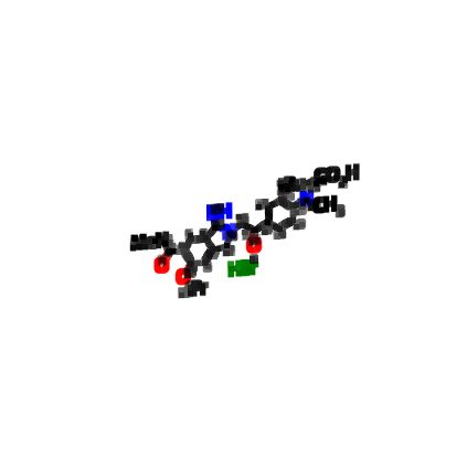 Br.CNC(=O)c1cc2c(cc1OC(C)C)CN(CC(=O)c1ccc(N(C)CC(=O)O)c(C(C)(C)C)c1)C2=N